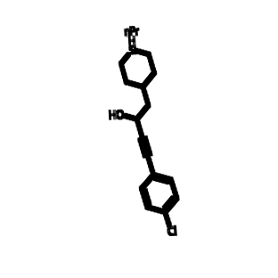 CCC[SiH]1CCC(CC(O)C#Cc2ccc(Cl)cc2)CC1